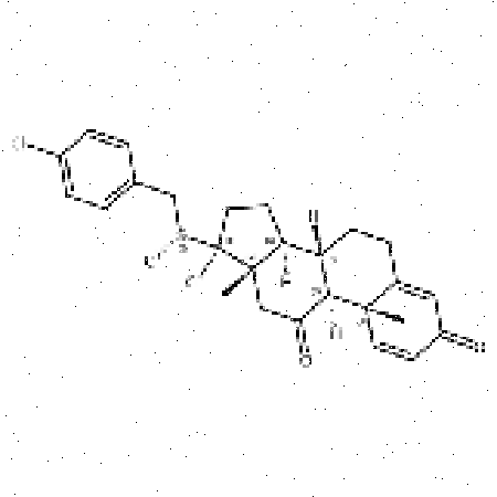 C[C@]12C=CC(=O)C=C1CC[C@@H]1[C@@H]2C(=O)C[C@@]2(C)[C@H]1CC[C@]2(Cl)[S@+]([O-])Cc1ccc(Cl)cc1